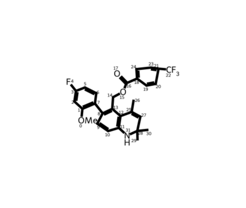 COc1cc(F)ccc1-c1ccc2c(c1COC(=O)c1ccc(C(F)(F)F)cc1)C(C)=CC(C)(C)N2